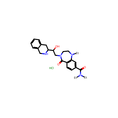 CCN(CC)C(=O)c1ccc2c(c1)N(CC)CCN(CC(O)C1Cc3ccccc3CN1)C2=O.Cl